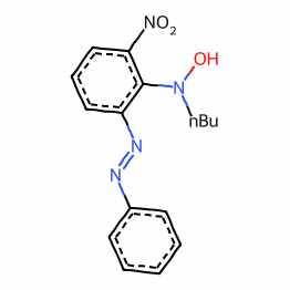 CCCCN(O)c1c(N=Nc2ccccc2)cccc1[N+](=O)[O-]